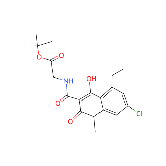 CCc1cc(Cl)cc2c1C(O)=C(C(=O)NCC(=O)OC(C)(C)C)C(=O)C2C